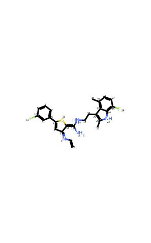 C=C/N=C1/C=C(c2cccc(F)c2)S/C1=C(/N)NCCc1c(C)[nH]c2c(F)ccc(C)c12